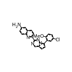 COc1ccc(Cl)cc1-c1ccc2cnc(-c3ccc4cc(N)ccc4n3)nn12